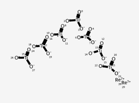 [O]=[Ti]([O-])[O-].[O]=[Ti]([O-])[O-].[O]=[Ti]([O-])[O-].[O]=[Ti]([O-])[O-].[O]=[Ti]([O-])[O-].[O]=[Ti]([O-])[O-].[O]=[Ti]([O-])[O-].[Re+7].[Re+7]